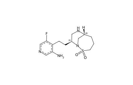 Nc1cncc(F)c1CC[C@H]1CN[C@@H]2CCCS(=O)(=O)N1C2